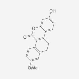 COc1ccc2c(c1)CCc1c-2c(=O)oc2cc(O)ccc12